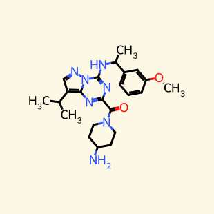 COc1cccc(C(C)Nc2nc(C(=O)N3CCC(N)CC3)nc3c(C(C)C)cnn23)c1